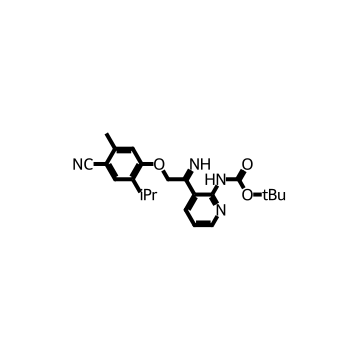 Cc1cc(OCC(=N)c2cccnc2NC(=O)OC(C)(C)C)c(C(C)C)cc1C#N